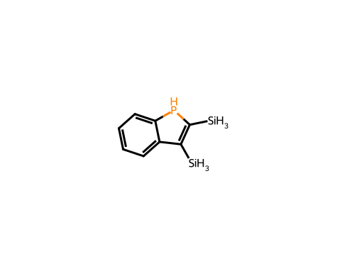 [SiH3]c1[pH]c2ccccc2c1[SiH3]